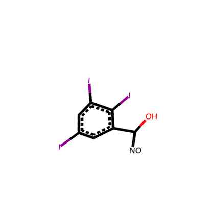 O=NC(O)c1cc(I)cc(I)c1I